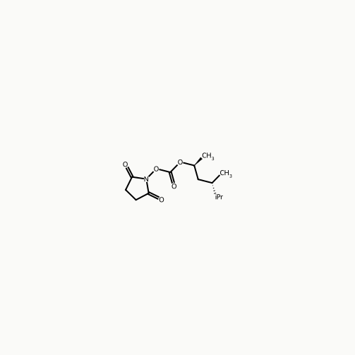 CC(C)[C@@H](C)C[C@H](C)OC(=O)ON1C(=O)CCC1=O